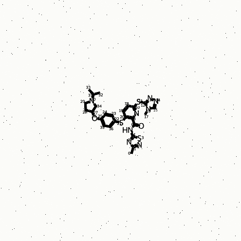 Cc1nsc(NC(=O)c2nc(Sc3nncn3C)ccc2Sc2ccc(OC3CCN(C(C)C)C3)cc2)n1